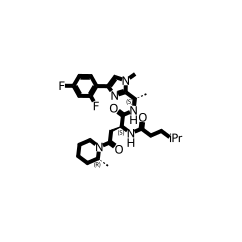 CC(C)CCC(=O)N[C@@H](CC(=O)N1CCCC[C@H]1C)C(=O)N[C@@H](C)c1nc(-c2ccc(F)cc2F)cn1C